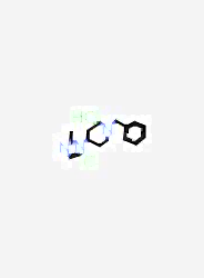 Cc1ncc(Cl)n1C1CCN(Cc2ccccc2)CC1.Cl